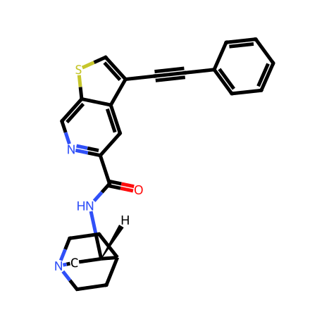 O=C(N[C@H]1CN2CCC1CC2)c1cc2c(C#Cc3ccccc3)csc2cn1